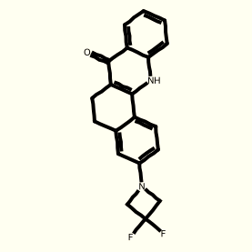 O=c1c2c([nH]c3ccccc13)-c1ccc(N3CC(F)(F)C3)cc1CC2